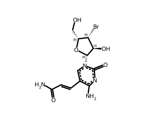 NC(=O)C=Cc1cn([C@@H]2O[C@H](CO)[C@H](Br)[C@H]2O)c(=O)nc1N